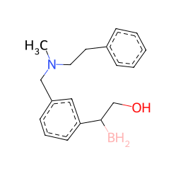 BC(CO)c1cccc(CN(C)CCc2ccccc2)c1